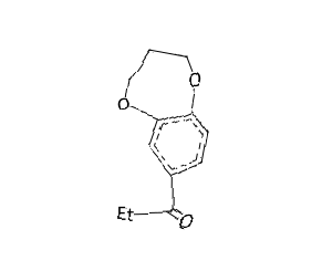 CCC(=O)c1ccc2c(c1)OCCCO2